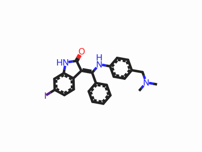 CN(C)Cc1ccc(N/C(=C2\C(=O)Nc3cc(I)ccc32)c2ccccc2)cc1